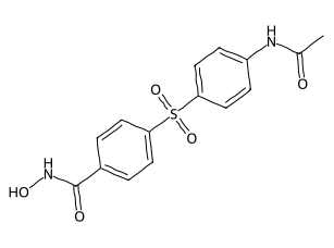 CC(=O)Nc1ccc(S(=O)(=O)c2ccc(C(=O)NO)cc2)cc1